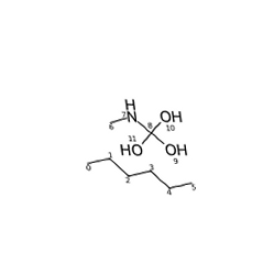 CCCCCC.CNC(O)(O)O